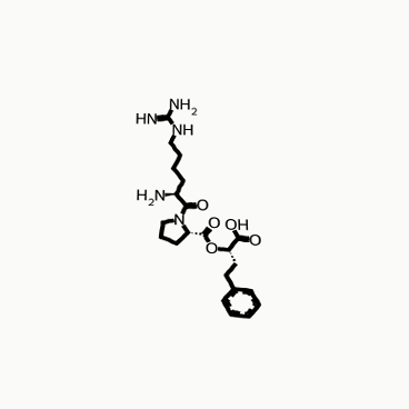 N=C(N)NCCCC[C@H](N)C(=O)N1CCC[C@H]1C(=O)O[C@@H](CCc1ccccc1)C(=O)O